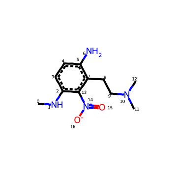 CNc1ccc(N)c(CCN(C)C)c1[N+](=O)[O-]